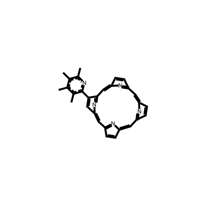 Cc1nc(C2=CC3=CC4=NC(=CC5=NC(=CC6=NC(=CC2=N3)C=C6)C=C5)C=C4)c(C)c(C)c1C